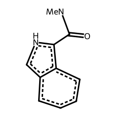 CNC(=O)c1[nH]cc2ccccc12